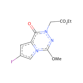 CCOC(=O)Cn1nc(OC)n2cc(I)cc2c1=O